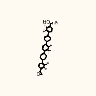 CCCC(O)c1ccc(C2=CCC(c3ccc(C4=CCC(c5ccc(C6CO6)c(F)c5F)CC4)c(F)c3F)CC2)c(F)c1F